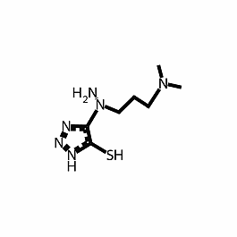 CN(C)CCCN(N)c1nn[nH]c1S